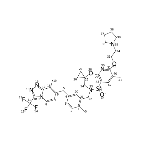 Cc1ccc(Cc2ccn3c(C(F)(F)F)nnc3c2C)cc1CN1CC2(CC2)Oc2nc(OCCN3CCCC3)c(C)cc2[S+]1[O-]